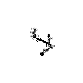 CC(C)(C)OC(=O)NCCCC[C@H](NC(=O)CCCCCCCNC(=O)CC[C@H](NC(=O)N[C@@H](CCC(=O)O)C(=O)O)C(=O)O)C(=O)N[C@@H](CCCCNC(=O)OCc1ccccc1)C(=O)O